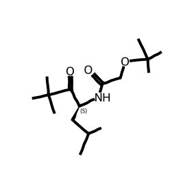 CC(C)C[C@H](NC(=O)COC(C)(C)C)C(=O)C(C)(C)C